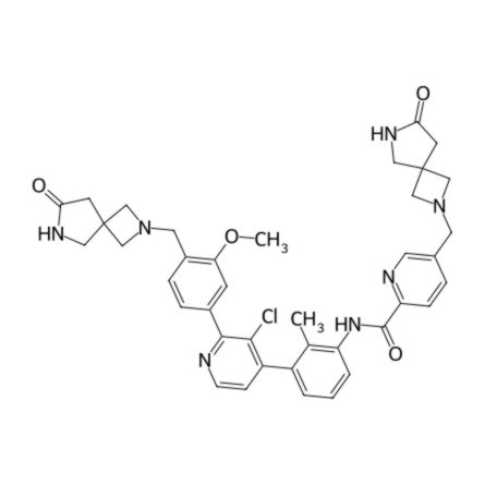 COc1cc(-c2nccc(-c3cccc(NC(=O)c4ccc(CN5CC6(CNC(=O)C6)C5)cn4)c3C)c2Cl)ccc1CN1CC2(CNC(=O)C2)C1